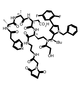 C[C@@H](NC(=O)Cc1ccncc1)C(=O)N[C@H](C)C(=O)N[C@@H](CC(=O)O)C(=O)N[C@@H](CCN(C(=O)CO)[C@@H](c1cc(-c2cc(F)ccc2F)cn1Cc1ccccc1)C(C)(C)C)C(=O)NCCNC(=O)CN1C(=O)C=CC1=O